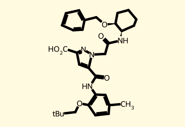 Cc1ccc(OCC(C)(C)C)c(NC(=O)c2cc(C(=O)O)nn2CC(=O)N[C@H]2CCCC[C@@H]2OCc2ccccc2)c1